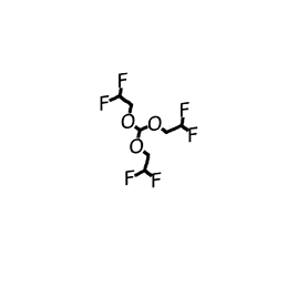 FC(F)COC(OCC(F)F)OCC(F)F